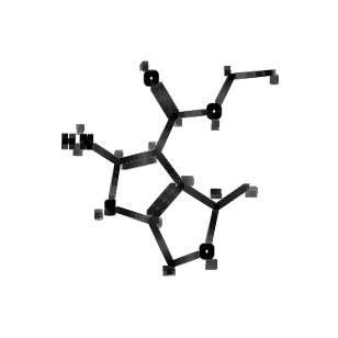 CCOC(=O)c1c(N)sc2c1C(C)OC2